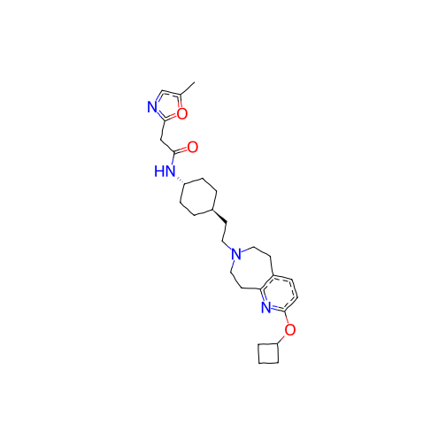 Cc1cnc(CC(=O)N[C@H]2CC[C@H](CCN3CCc4ccc(OC5CCC5)nc4CC3)CC2)o1